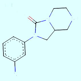 Cl.Cl.Nc1cccc(N2CC3CNCCN3C2=O)c1